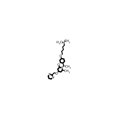 Cc1cc(OCc2ncccn2)cc(=O)n1[C@H](C)c1ccc(OCCCCCN(C)C)cc1